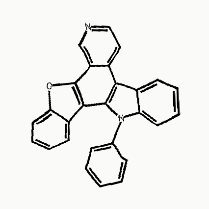 c1ccc(-n2c3ccccc3c3c4ccncc4c4oc5ccccc5c4c32)cc1